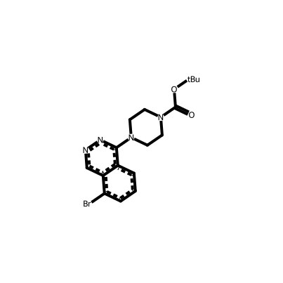 CC(C)(C)OC(=O)N1CCN(c2nncc3c(Br)cccc23)CC1